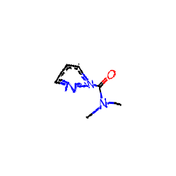 CN(C)C(=O)n1[c]ccn1